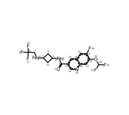 O=C(NC1CC(NCC(F)(F)F)C1)c1cnc2cc(OC(F)F)c(F)cc2c1